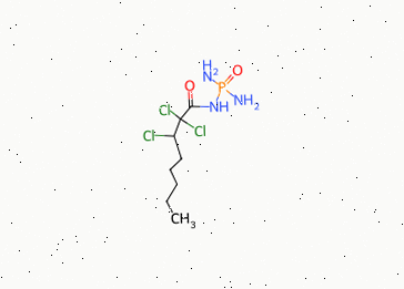 CCCCCC(Cl)C(Cl)(Cl)C(=O)NP(N)(N)=O